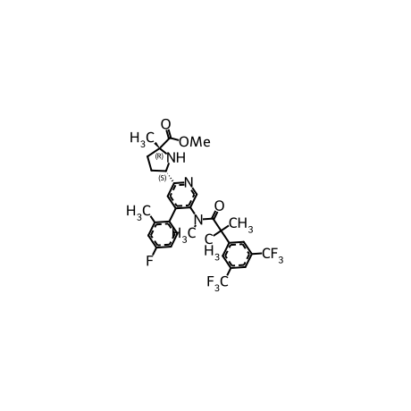 COC(=O)[C@@]1(C)CC[C@@H](c2cc(-c3ccc(F)cc3C)c(N(C)C(=O)C(C)(C)c3cc(C(F)(F)F)cc(C(F)(F)F)c3)cn2)N1